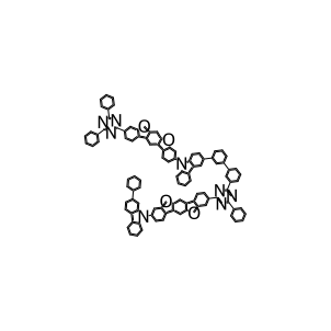 c1ccc(-c2ccc3c4ccccc4n(-c4ccc5c(c4)oc4cc6c(cc45)oc4cc(-c5nc(-c7ccccc7)nc(-c7cccc(-c8cccc(-c9ccc%10c(c9)c9ccccc9n%10-c9ccc%10c(c9)oc9cc%11oc%12cc(-c%13nc(-c%14ccccc%14)nc(-c%14ccccc%14)n%13)ccc%12c%11cc9%10)c8)c7)n5)ccc46)c3c2)cc1